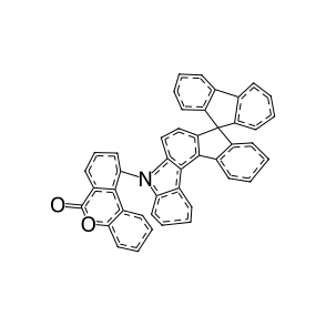 O=c1oc2ccccc2c2c(-n3c4ccccc4c4c5c(ccc43)C3(c4ccccc4-c4ccccc43)c3ccccc3-5)cccc12